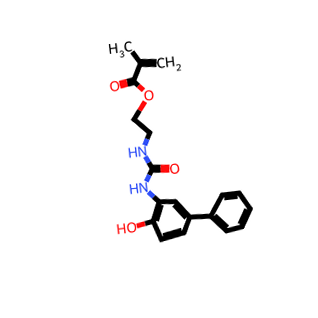 C=C(C)C(=O)OCCNC(=O)Nc1cc(-c2ccccc2)ccc1O